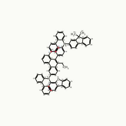 CCc1c2c3c(cccc3c3cc(N(c4ccccc4-c4ccccc4)c4cccc5c4oc4ccccc45)ccc13)Sc1cc(N(c3ccc4c(c3)C(C)(C)c3ccccc3-4)c3ccccc3-c3ccccc3)ccc1-2